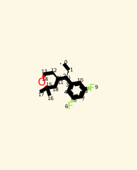 [CH2]C[C@H](c1cc(F)cc(F)c1)[C@@H]1CCOC(C)(C)C1